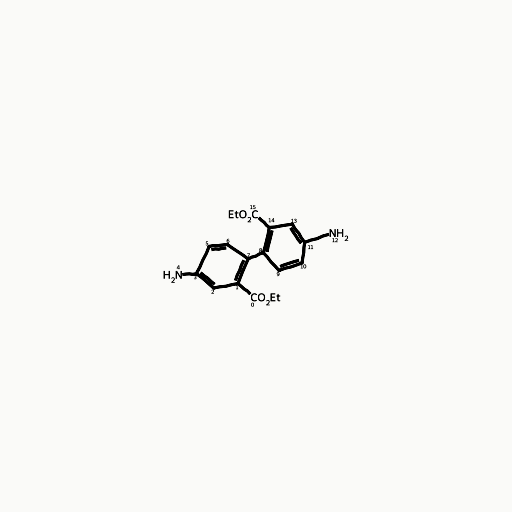 CCOC(=O)c1cc(N)ccc1-c1ccc(N)cc1C(=O)OCC